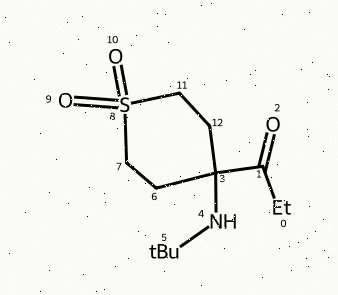 CCC(=O)C1(NC(C)(C)C)CCS(=O)(=O)CC1